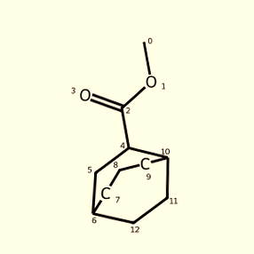 COC(=O)C1CC2CCCC1CC2